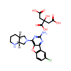 Nc1nc(N2C[C@H]3CCCN[C@H]3C2)c2oc3ccc(Cl)cc3c2n1.O=C(O)CC(O)(CC(=O)O)C(=O)O